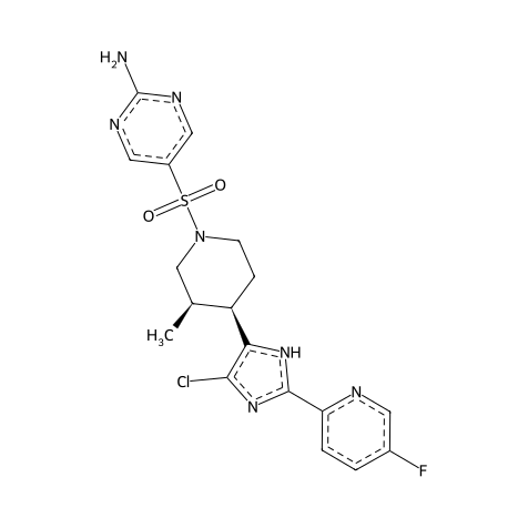 C[C@H]1CN(S(=O)(=O)c2cnc(N)nc2)CC[C@H]1c1[nH]c(-c2ccc(F)cn2)nc1Cl